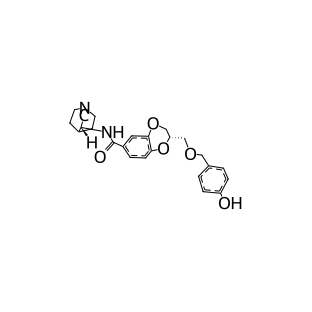 O=C(N[C@H]1CN2CCC1CC2)c1ccc2c(c1)OC[C@H](COCc1ccc(O)cc1)O2